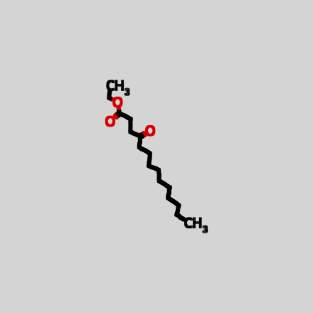 CCCCCCCCCCC(=O)CCC(=O)OCC